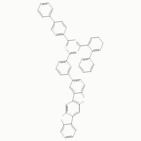 C1=C(c2ccccc2)C(c2nc(-c3ccc(-c4ccccc4)cc3)nc(-c3cccc(-c4ccc5oc6cc7c(cc6c5c4)oc4ccccc47)c3)n2)=CCC1